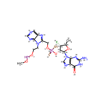 COPOCCn1c(COP(=S)(S)O[C@@H]2[C@H](F)[C@@H](C)O[C@H]2n2cnc3c(=O)[nH]c(N)nc32)nc2cncnc21